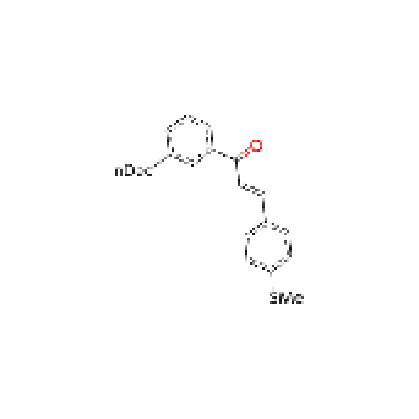 CCCCCCCCCCc1cccc(C(=O)C=Cc2ccc(SC)cc2)c1